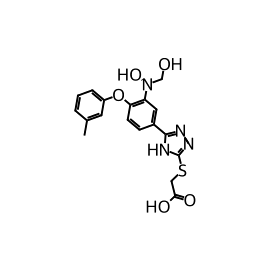 Cc1cccc(Oc2ccc(-c3nnc(SCC(=O)O)[nH]3)cc2N(O)CO)c1